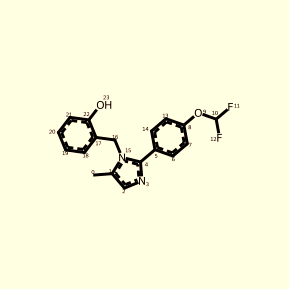 Cc1cnc(-c2ccc(OC(F)F)cc2)n1Cc1ccccc1O